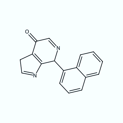 O=C1C=NC(c2cccc3ccccc23)C2=C1CC=N2